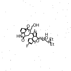 CCN(CC)CC(O)CNC(=O)c1cn(C)c(C2CC3C(=O)Nc4ccc(cc43)C(=O)N2CCO)c1-c1ccc(F)cc1F